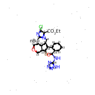 CCCCc1nc(Cl)c(C(=O)OCC)n1Cc1c2ccocc-2c(Br)c1-c1ccccc1C(=O)Nc1nnn[nH]1